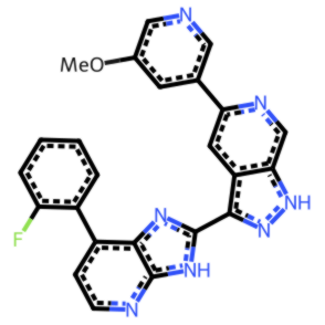 COc1cncc(-c2cc3c(-c4nc5c(-c6ccccc6F)ccnc5[nH]4)n[nH]c3cn2)c1